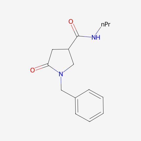 CCCNC(=O)C1CC(=O)N(Cc2ccccc2)C1